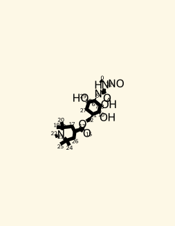 CN(N=O)C(=O)N[C@@H]1[C@@H](O)[C@H](O)[C@@H](COC(=O)C2CC(C)(C)N(C)C(C)(C)C2)C[C@H]1O